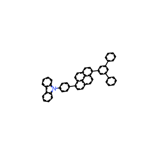 c1ccc(-c2cc(-c3ccccc3)cc(-c3ccc4ccc5c(-c6ccc(-n7c8ccccc8c8ccccc87)cc6)ccc6ccc3c4c65)c2)cc1